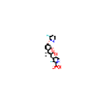 Cc1c(Cc2ccnc(C(=O)O)c2F)c(=O)oc2cc(Oc3ncccc3F)ccc12